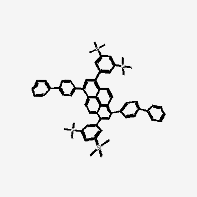 C[Si](C)(C)c1cc(-c2cc(-c3ccc(-c4ccccc4)cc3)c3ccc4c(-c5cc([Si](C)(C)C)cc([Si](C)(C)C)c5)cc(-c5ccc(-c6ccccc6)cc5)c5ccc2c3c54)cc([Si](C)(C)C)c1